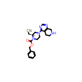 N#CC[C@H]1CN(c2ncnc3c2CCNC3)CCN1C(=O)OCc1ccccc1